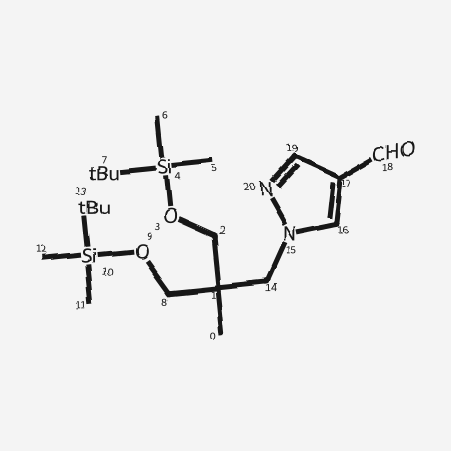 CC(CO[Si](C)(C)C(C)(C)C)(CO[Si](C)(C)C(C)(C)C)Cn1cc(C=O)cn1